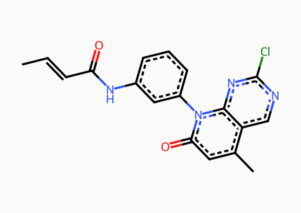 C/C=C/C(=O)Nc1cccc(-n2c(=O)cc(C)c3cnc(Cl)nc32)c1